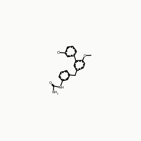 COc1ccc(Cc2cccc(NC(N)=O)c2)cc1-c1cccc(Cl)c1